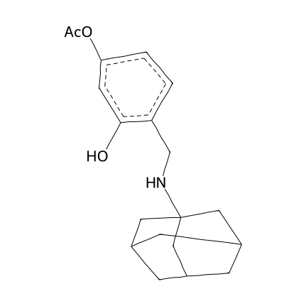 CC(=O)Oc1ccc(CNC23CC4CC(CC(C4)C2)C3)c(O)c1